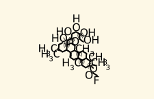 CC1(C)CC[C@]2([C@H](O)[C@H]3OC(CO)[C@H](O)C(O)C3O)CCC3C(=CCC4[C@@]3(C)CCC3C(C)(C)[C@@H](OC(=O)CF)CC[C@@]34C)C2C1